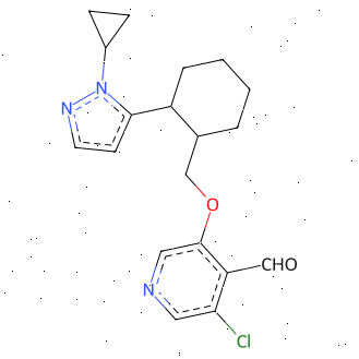 O=Cc1c(Cl)cncc1OCC1CCCCC1c1ccnn1C1CC1